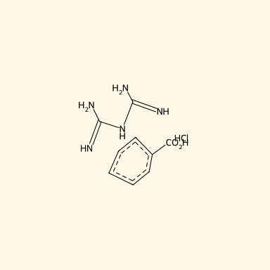 Cl.N=C(N)NC(=N)N.O=C(O)c1ccccc1